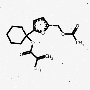 C=C(C)C(=O)OC1(c2ccc(COC(C)=O)o2)CCCCC1